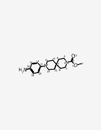 COC(=O)N1CCC2(CC1)CCN(c1ccc(N)cc1)CC2